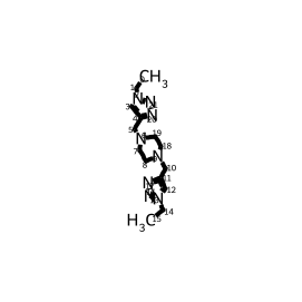 CCn1cc(CN2CCN(Cc3cn(CC)nn3)CC2)nn1